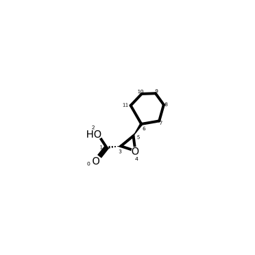 O=C(O)[C@H]1O[C@@H]1C1CCCCC1